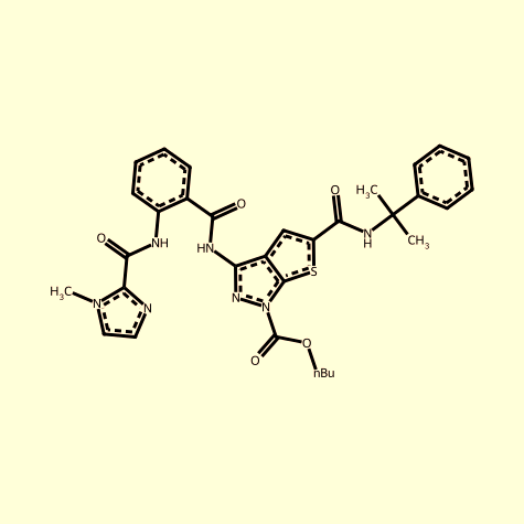 CCCCOC(=O)n1nc(NC(=O)c2ccccc2NC(=O)c2nccn2C)c2cc(C(=O)NC(C)(C)c3ccccc3)sc21